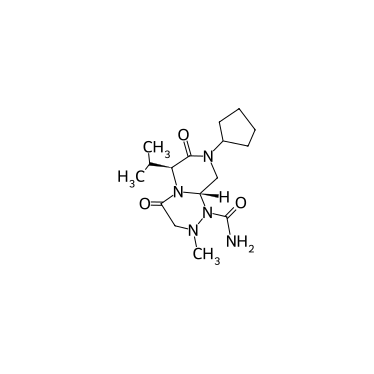 CC(C)[C@H]1C(=O)N(C2CCCC2)C[C@H]2N1C(=O)CN(C)N2C(N)=O